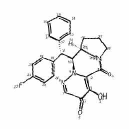 O=C1c2c(O)c(=O)cnn2[C@@H]([C@@H](c2ccccc2)c2ccc(F)cc2)[C@H]2CCCN12